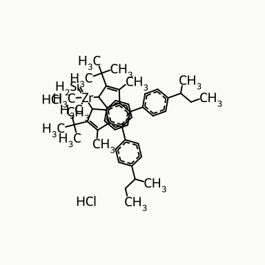 CCC(C)c1ccc(-c2cccc3c2C(C)=C(C(C)(C)C)[CH]3[Zr]([CH3])([CH3])(=[SiH2])[CH]2C(C(C)(C)C)=C(C)c3c(-c4ccc(C(C)CC)cc4)cccc32)cc1.Cl.Cl